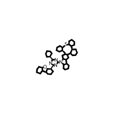 c1ccc(-c2nc(-c3cccc4c3oc3ccccc34)nc(-n3c4ccccc4c4cc5c(cc43)c3ccccc3sc3ccccc3c3ccccc35)n2)cc1